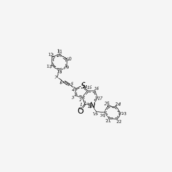 O=c1c2cc(C#CCc3ccccc3)sc2ccn1Cc1ccccc1